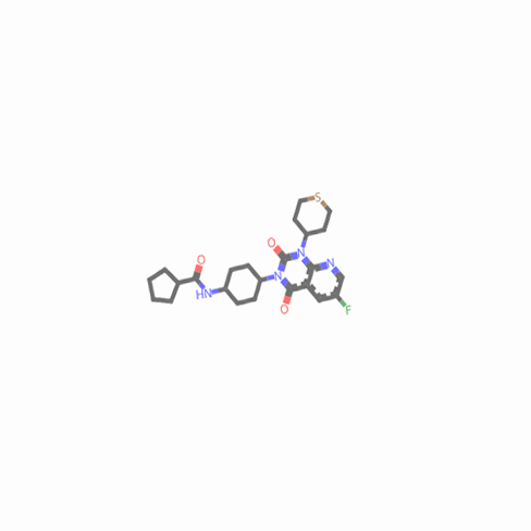 O=C(NC1CCC(n2c(=O)c3cc(F)cnc3n(C3CCSCC3)c2=O)CC1)C1CCCC1